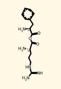 N=C(N)NCCC[C@H](N)C(=O)OC(=O)[C@@H](N)Cc1ccccc1